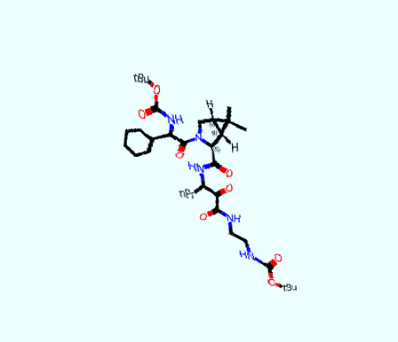 CCCC(NC(=O)[C@@H]1[C@@H]2[C@H](CN1C(=O)C(NC(=O)OC(C)(C)C)C1CCCCC1)C2(C)C)C(=O)C(=O)NCCNC(=O)OC(C)(C)C